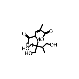 CC(=CC(OC(CO)(CO)C(C)CO)C(=O)O)C(=O)O